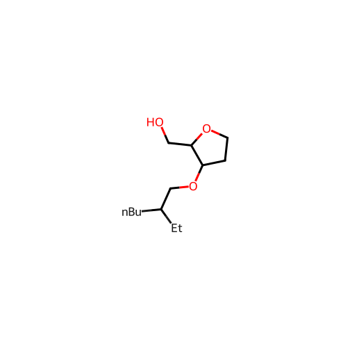 CCCCC(CC)COC1CCOC1CO